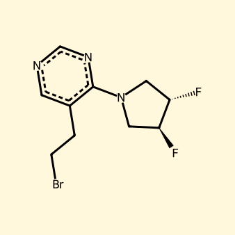 F[C@H]1CN(c2ncncc2CCBr)C[C@@H]1F